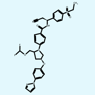 CCS(=O)(=O)c1ccc([C@H](CC#N)NC(=O)c2ccc(N3C[C@@H](Oc4ccc(-n5cccn5)cc4)CC3COC(F)F)cc2)cc1